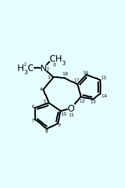 CN(C)C1Cc2ccccc2Oc2ccccc2C1